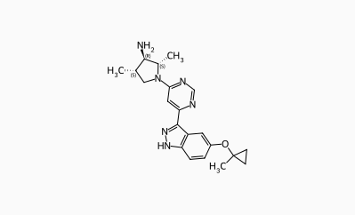 C[C@H]1CN(c2cc(-c3n[nH]c4ccc(OC5(C)CC5)cc34)ncn2)[C@@H](C)[C@@H]1N